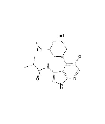 CNC1CCCN(c2c(Cl)cnc3[nH]cc(NC(=O)C(C)C)c23)C1.Cl